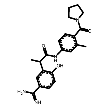 Cc1cc(NC(=O)C(C)c2cc(C(=N)N)ccc2O)ccc1C(=O)N1CCCC1